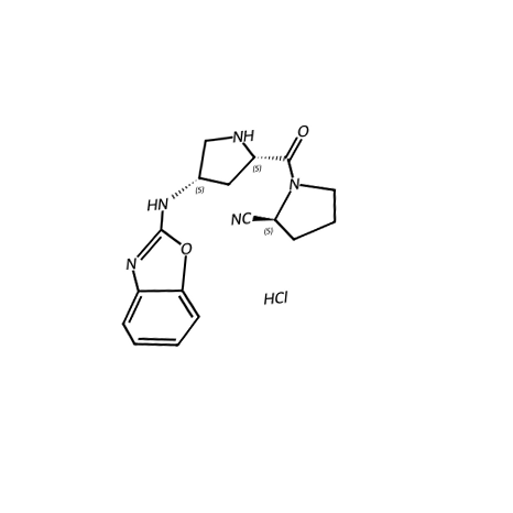 Cl.N#C[C@@H]1CCCN1C(=O)[C@@H]1C[C@H](Nc2nc3ccccc3o2)CN1